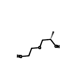 C[C@H](O)COCCO